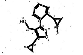 C[C@@H]1CC1c1ccccc1-c1noc(C2CC2)c1CO